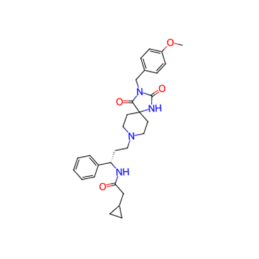 COc1ccc(CN2C(=O)NC3(CCN(CC[C@H](NC(=O)CC4CC4)c4ccccc4)CC3)C2=O)cc1